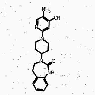 N#Cc1cc(N2CCC(N3CCc4ccccc4NC3=O)CC2)ncc1N